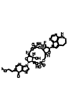 O=c1c2ncn([C@@H]3O[C@@H]4CO[P@](=O)(S)O[C@H]5[C@@H](F)[C@H](n6cc7c8c(ncnc86)NCCC7)O[C@@H]5COP(=O)(O)O[C@@H]3[C@@H]4O)c2ncn1CCOI